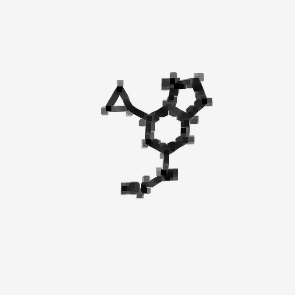 O=C(O)Nc1cc(C2CC2)c2[nH]ccc2c1